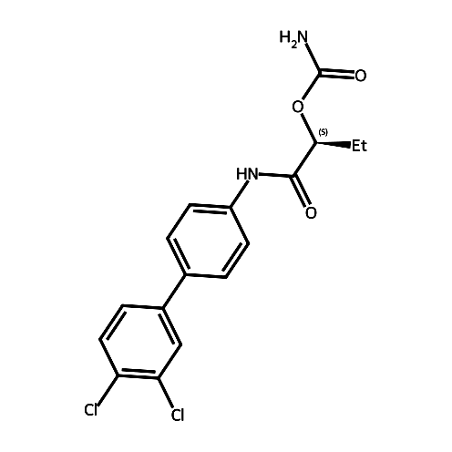 CC[C@H](OC(N)=O)C(=O)Nc1ccc(-c2ccc(Cl)c(Cl)c2)cc1